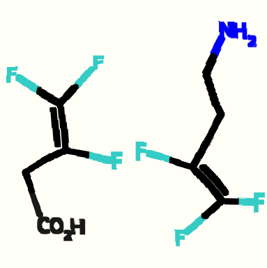 NCCC(F)=C(F)F.O=C(O)CC(F)=C(F)F